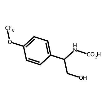 O=C(O)NC(CO)c1ccc(OC(F)(F)F)cc1